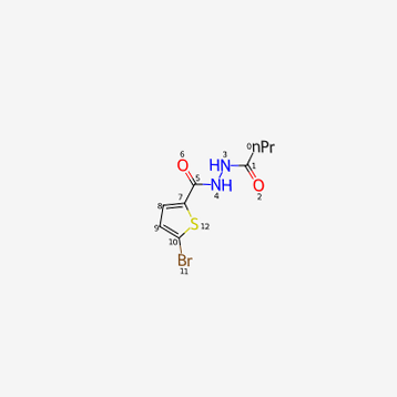 CCCC(=O)NNC(=O)c1ccc(Br)s1